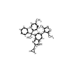 Cc1ccc(C(O)(c2ccccc2)c2cc(-c3c(C)noc3C)cc3[nH]c(C4CC4)nc23)nc1